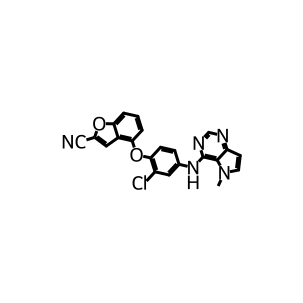 Cn1ccc2ncnc(Nc3ccc(Oc4cccc5oc(C#N)cc45)c(Cl)c3)c21